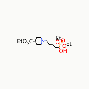 CCOC(=O)C1CCN(CCCCC(O)P(=O)(OCC)OCC)CC1